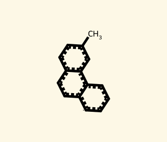 Cc1ccc2ccc3[c]cccc3c2c1